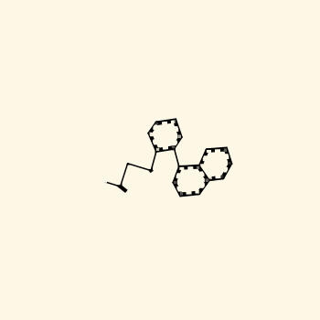 O=C(O)CC(=O)c1ccccc1-c1cccc2ccccc12